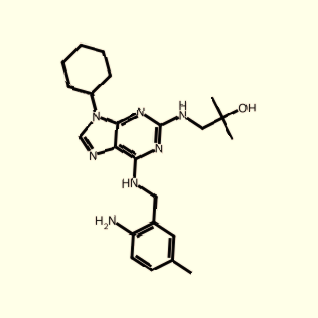 Cc1ccc(N)c(CNc2nc(NCC(C)(C)O)nc3c2ncn3C2CCCCC2)c1